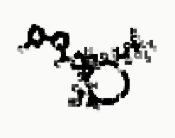 CC(C)(C)OC(=O)N[C@@H]1CCCCC/C=C\[C@H]2C[C@@]2(C(=O)O)NC(=O)[C@@H]2[C@H]3CN(C(=O)c4cccc(-c5cccc(Cl)c5)n4)C[C@H]3CN2C1=O